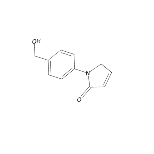 O=C1C=CCN1c1ccc(CO)cc1